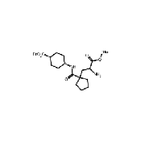 CCOC(=O)[C@H]1CC[C@@H](NC(=O)C2(CC(N)C(=O)OC(C)(C)C)CCCC2)CC1